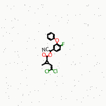 CC1C(C=C(Cl)Cl)C1C(=O)OC(C#N)c1ccc(F)c(Oc2ccccc2)c1